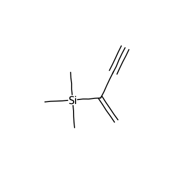 C#CC(=C)[Si](C)(C)C